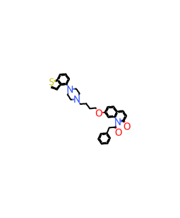 O=C(Cc1ccccc1)n1c(=O)ccc2ccc(OCCCCN3CCN(c4cccc5sccc45)CC3)cc21